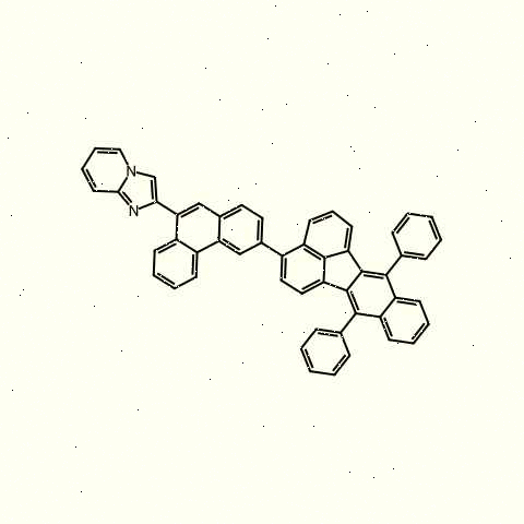 c1ccc(-c2c3c(c(-c4ccccc4)c4ccccc24)-c2ccc(-c4ccc5cc(-c6cn7ccccc7n6)c6ccccc6c5c4)c4cccc-3c24)cc1